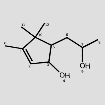 CC1=CC(O)C(CC(C)O)C1(C)C